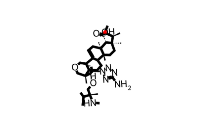 CN[C@@](C)(CO[C@H]1[C@H](n2nnc(N)n2)C[C@@]23COC[C@]1(C)[C@@H]2CCC1C3=CC[C@@]2(C)[C@H](C(=O)O)[C@@](C)([C@H](C)C(C)C)CC[C@]12C)C(C)C